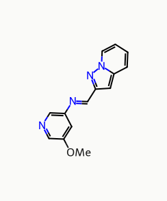 COc1cncc(N=Cc2cc3ccccn3n2)c1